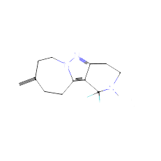 C=C1CCc2c3c(nn2CC1)CCN(C(=O)O)C3(F)F